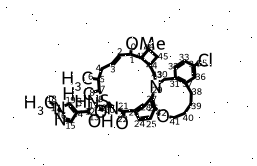 COC1/C=C/CC(C)C(C)S(=O)(NC(O)c2cnn(C)c2)=NC(=O)c2ccc3c(c2)N(Cc2ccc(Cl)cc2CCCCO3)CC2CCC21